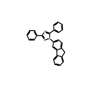 c1ccc(-c2nc(-c3ccccc3)n(-c3ccc4c(c3)-c3ccccc3C4)n2)cc1